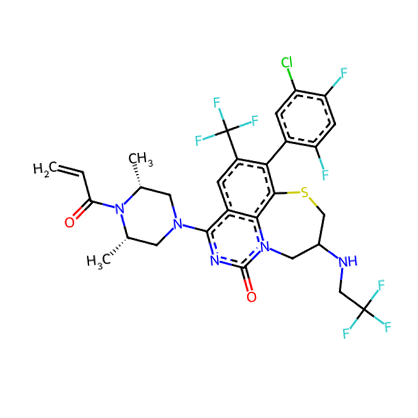 C=CC(=O)N1[C@H](C)CN(c2nc(=O)n3c4c(c(-c5cc(Cl)c(F)cc5F)c(C(F)(F)F)cc24)SCC(NCC(F)(F)F)C3)C[C@@H]1C